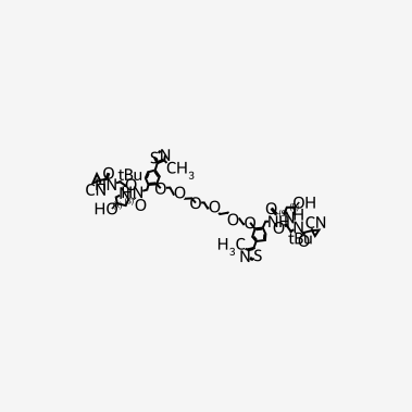 Cc1ncsc1-c1ccc(CNC(=O)[C@@H]2C[C@@H](O)CN2C(=O)C(NC(=O)C2(C#N)CC2)C(C)(C)C)c(OCCOCCOCCOCCOCCOc2cc(-c3scnc3C)ccc2CNC(=O)[C@@H]2C[C@@H](O)CN2C(=O)C(NC(=O)C2(C#N)CC2)C(C)(C)C)c1